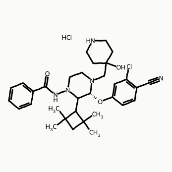 CC1(C)CC(C)(C)C1C1[C@@H](Oc2ccc(C#N)c(Cl)c2)N(CC2(O)CCNCC2)CCN1NC(=O)c1ccccc1.Cl